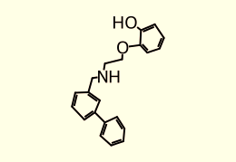 Oc1ccccc1OCCNCc1cccc(-c2ccccc2)c1